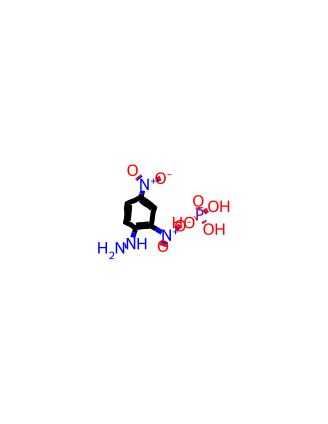 NNc1ccc([N+](=O)[O-])cc1[N+](=O)[O-].O=P(O)(O)O